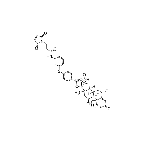 C[C@]12C=CC(=O)C=C1[C@@H](F)C[C@H]1[C@@H]3C[C@H]4O[C@@H](c5ccc(Sc6cccc(NC(=O)CCN7C(=O)C=CC7=O)c6)cc5)O[C@@]4(C(O)C=O)[C@@]3(C)C[C@H](O)[C@@]12F